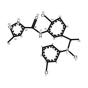 CCN(c1cccc(Cl)c1)C(C)c1ccc(Cl)c(NC(=O)c2cc(C)on2)c1